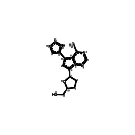 Nc1ncnn2c([C@H]3CC[C@@H](CO)O3)cc(-c3cnn[nH]3)c12